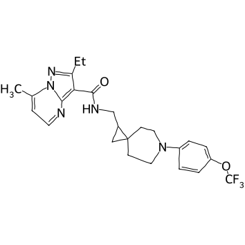 CCc1nn2c(C)ccnc2c1C(=O)NCC1CC12CCN(c1ccc(OC(F)(F)F)cc1)CC2